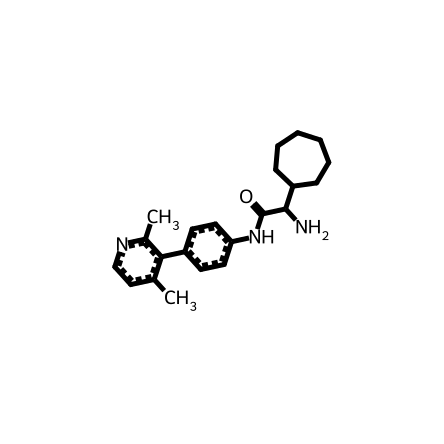 Cc1ccnc(C)c1-c1ccc(NC(=O)C(N)C2CCCCCC2)cc1